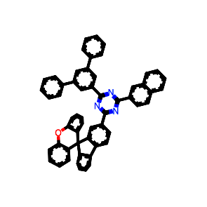 c1ccc(-c2cc(-c3ccccc3)cc(-c3nc(-c4ccc5c(c4)C4(c6ccccc6Oc6ccccc64)c4ccccc4-5)nc(-c4ccc5ccccc5c4)n3)c2)cc1